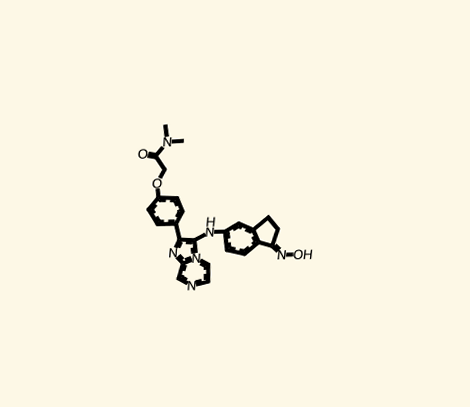 CN(C)C(=O)COc1ccc(-c2nc3cnccn3c2Nc2ccc3c(c2)CCC3=NO)cc1